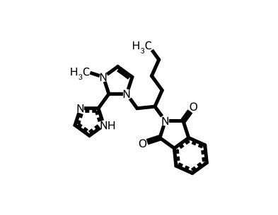 CCCCC(CN1C=CN(C)C1c1ncc[nH]1)N1C(=O)c2ccccc2C1=O